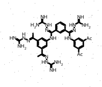 CC(=O)c1cc(NC(=NNC(=N)N)c2cccc(C(=NNC(=N)N)Nc3cc(C(C)=NNC(=N)N)cc(C(C)=NNC(=N)N)c3)c2)cc(C(C)=O)c1